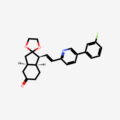 O=C1CC[C@H]2[C@@H](C1)CC1(OCCO1)[C@H]2C=Cc1ccc(-c2cccc(F)c2)cn1